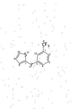 FC(F)(F)c1cccc([I+]c2cccs2)c1